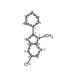 Cn1c(-c2ccccn2)nc2cc(Cl)cnc21